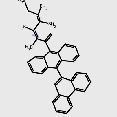 BC/C(B)=C(B)\C(B)=C(\B)C(=C)c1c2ccccc2c(-c2cc3ccccc3c3ccccc23)c2ccccc12